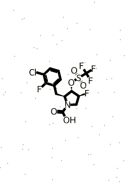 O=C(O)N1C[C@H](F)[C@@H](OS(=O)(=O)C(F)(F)F)[C@@H]1Cc1cccc(Cl)c1F